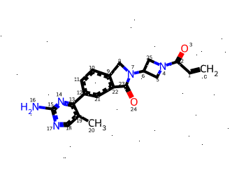 C=CC(=O)N1CC(N2Cc3ccc(-c4nc(N)ncc4C)cc3C2=O)C1